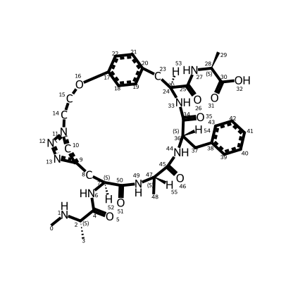 CN[C@@H](C)C(=O)N[C@H]1Cc2cn(nn2)CCOc2ccc(cc2)C[C@@H](C(=O)N[C@@H](C)C(=O)O)NC(=O)[C@H](Cc2ccccc2)NC(=O)[C@H](C)NC1=O